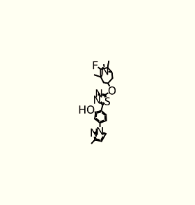 Cc1ccn(-c2ccc(-c3nnc(OC4CC5C(C)C(F)C(C)(C4)N5C)s3)c(O)c2)n1